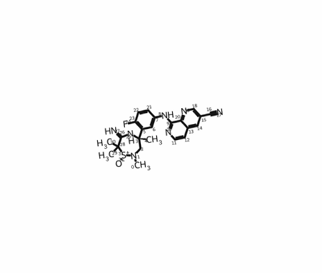 CN1C[C@@](C)(c2cc(Nc3nccc4cc(C#N)cnc34)ccc2F)NC(=N)C(C)(C)[S+]1[O-]